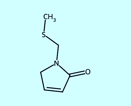 CSCN1CC=CC1=O